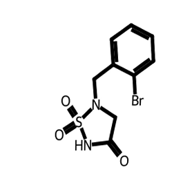 O=C1CN(Cc2ccccc2Br)S(=O)(=O)N1